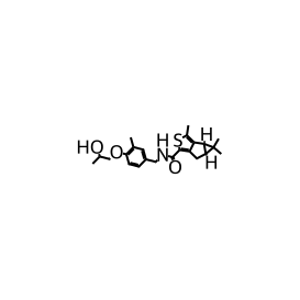 Cc1cc(CNC(=O)c2sc(C)c3c2C[C@@H]2[C@H]3C2(C)C)ccc1OCC(C)O